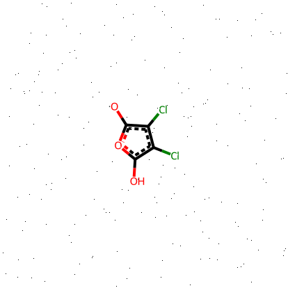 [O]c1oc(O)c(Cl)c1Cl